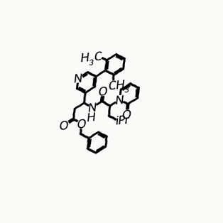 Cc1cccc(C)c1-c1cncc(C(CC(=O)OCc2ccccc2)NC(=O)C(CC(C)C)n2ccccc2=O)c1